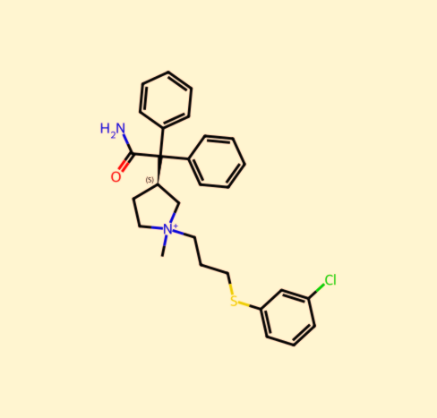 C[N+]1(CCCSc2cccc(Cl)c2)CC[C@@H](C(C(N)=O)(c2ccccc2)c2ccccc2)C1